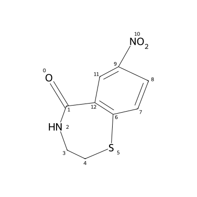 O=C1NCCSc2ccc([N+](=O)[O-])cc21